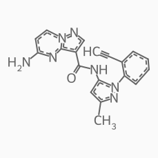 C#Cc1ccccc1-n1nc(C)cc1NC(=O)c1cnn2ccc(N)nc12